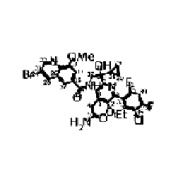 CCOc1c(CC(N)=O)cc([C@@](O)(CNC(=O)c2cc(OC)c3ncc(Br)cc3c2)C2CC2)nc1-c1cc(Cl)c(F)cc1F